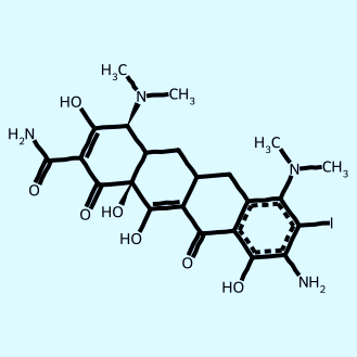 CN(C)c1c(I)c(N)c(O)c2c1CC1CC3[C@H](N(C)C)C(O)=C(C(N)=O)C(=O)[C@@]3(O)C(O)=C1C2=O